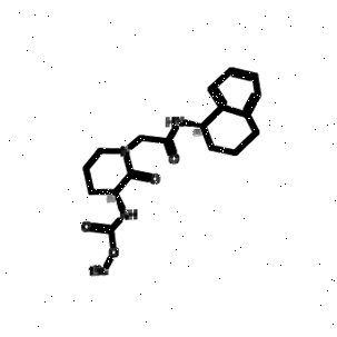 CC(C)(C)OC(=O)N[C@H]1CCCN(CC(=O)N[C@@H]2CCCc3ccccc32)C1=O